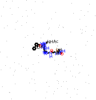 CC(=O)NCCNc1nc(NCc2cn(CCNC(=O)CCC[C@@H]3SC[C@@H]4NC(=O)N[C@@H]43)nn2)nc(OCc2cccc(-c3ccccc3)c2C)n1